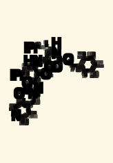 CC(C)C[C@H](NC(=O)OCc1ccccc1)C(=O)N[C@@H](CC(C)C)C(=O)c1nn(Cc2ccncc2)c(=O)o1